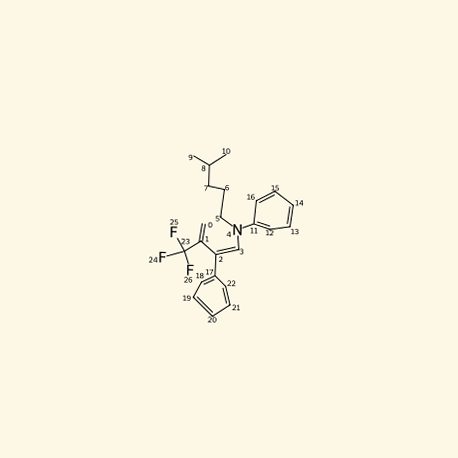 C=C(/C(=C\N(CCCC(C)C)c1ccccc1)c1ccccc1)C(F)(F)F